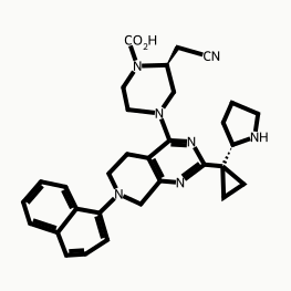 N#CC[C@H]1CN(c2nc(C3([C@@H]4CCCN4)CC3)nc3c2CCN(c2cccc4ccccc24)C3)CCN1C(=O)O